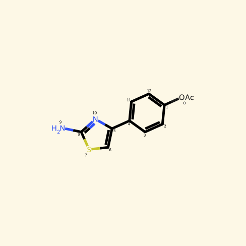 CC(=O)Oc1ccc(-c2csc(N)n2)cc1